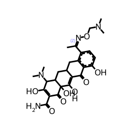 C/C(=N/OCN(C)C)c1ccc(O)c2c1CC1CC3C(N(C)C)C(O)=C(C(N)=O)C(=O)C3(O)C(O)=C1C2=O